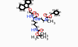 CN(CCNC(=O)[C@H](CCCCNC(=O)OC(C)(C)C)NC(=O)COC1c2ccccc2-c2ccccc21)C(=O)OCc1ccccc1